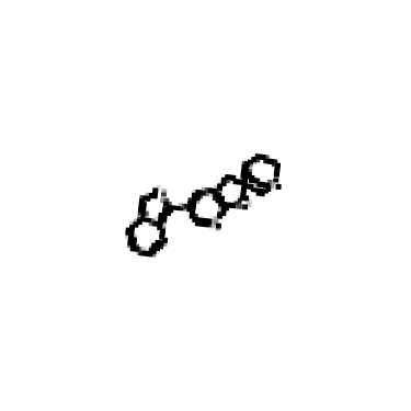 c1ccc2c(-c3cnc4c(c3)CC3(CN5CCC3CC5)O4)occ2c1